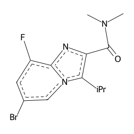 CC(C)c1c(C(=O)N(C)C)nc2c(F)cc(Br)cn12